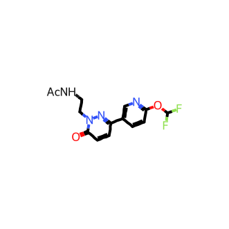 CC(=O)NCCn1nc(-c2ccc(OC(F)F)nc2)ccc1=O